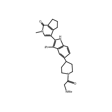 CNCC(=O)N1CCC(c2ccc3[nH]c(-c4cn(C)c(=O)c5c4CCC5)c(C(C)C)c3c2)CC1